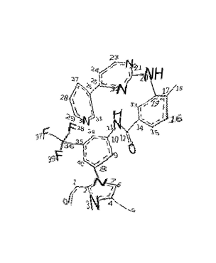 C=Cc1nc(C)cn1-c1cc(NC(=O)c2ccc(C)c(Nc3nccc(-c4cccnc4)n3)c2)cc(C(F)(F)F)c1